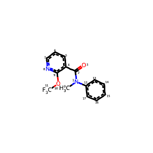 CN(C(=O)c1cccnc1OC(F)(F)F)c1ccccc1